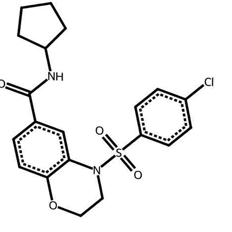 O=C(NC1CCCC1)c1ccc2c(c1)N(S(=O)(=O)c1ccc(Cl)cc1)CCO2